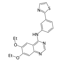 CCOc1cc2ncnc(Nc3cccc(-c4nccs4)c3)c2cc1OCC